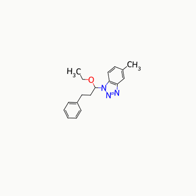 CCOC(CCc1ccccc1)n1nnc2cc(C)ccc21